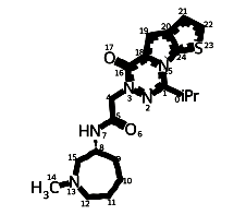 CC(C)c1nn(CC(=O)N[C@@H]2CCCCN(C)C2)c(=O)c2cc3ccsc3n12